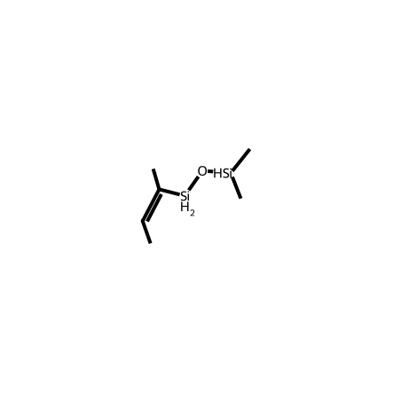 CC=C(C)[SiH2]O[SiH](C)C